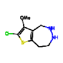 COc1c(Cl)sc2c1CNNCC2